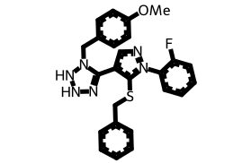 COc1ccc(CN2NNN=C2c2cnn(-c3ccccc3F)c2SCc2ccccc2)cc1